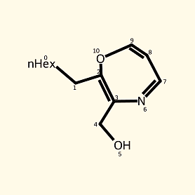 CCCCCCCC1=C(CO)N=CC=CO1